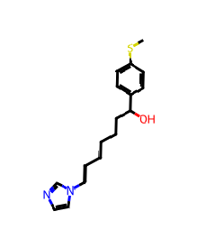 CSc1ccc(C(O)CCCCCCn2ccnc2)cc1